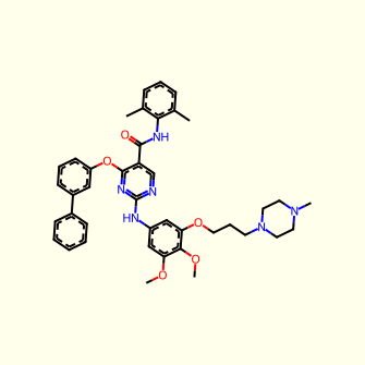 COc1cc(Nc2ncc(C(=O)Nc3c(C)cccc3C)c(Oc3cccc(-c4ccccc4)c3)n2)cc(OCCCN2CCN(C)CC2)c1OC